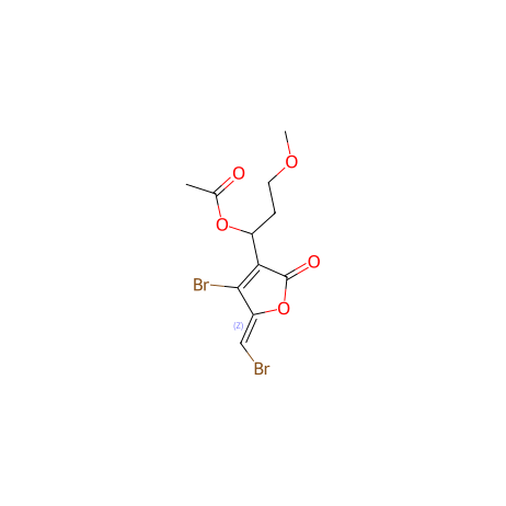 COCCC(OC(C)=O)C1=C(Br)/C(=C/Br)OC1=O